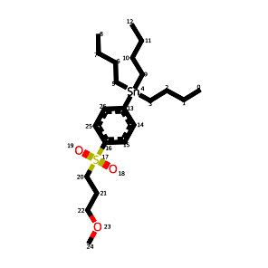 CCC[CH2][Sn]([CH2]CCC)([CH2]CCC)[c]1ccc(S(=O)(=O)CCCOC)cc1